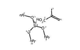 C=C(C)C(=O)O.CCCO[SiH](OCCC)OCCC